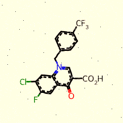 O=C(O)c1cn(Cc2ccc(C(F)(F)F)cc2)c2cc(Cl)c(F)cc2c1=O